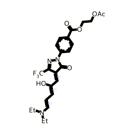 CCN(/C=C/C=C(O)/C=C1/C(=O)N(c2ccc(C(=O)OCCOC(C)=O)cc2)N=C1C(F)(F)F)CC